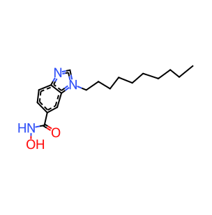 CCCCCCCCCCn1cnc2ccc(C(=O)NO)cc21